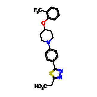 O=C(O)Cc1nnc(-c2ccc(N3CCC(Oc4ccccc4C(F)(F)F)CC3)cc2)s1